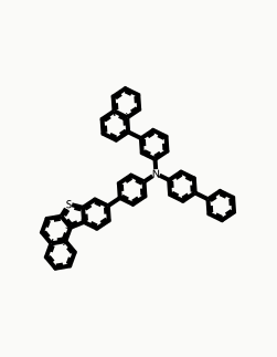 c1ccc(-c2ccc(N(c3ccc(-c4ccc5c(c4)sc4ccc6ccccc6c45)cc3)c3cccc(-c4cccc5ccccc45)c3)cc2)cc1